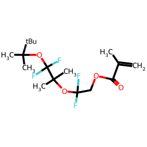 C=C(C)C(=O)OCC(F)(F)OC(C)(C)C(F)(F)OC(C)(C)C(C)(C)C